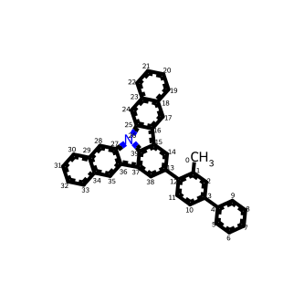 Cc1cc(-c2ccccc2)ccc1-c1cc2c3cc4ccccc4cc3n3c4cc5ccccc5cc4c(c1)c23